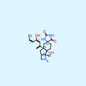 C=C(/C=C(O)\C=C/CC)[C@]12CC3CN(C)[C@H]3[C@]1(O)CC[C@@]1(C2)NC(=O)NC1=O